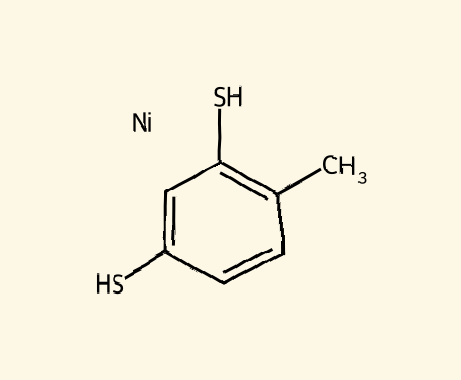 Cc1ccc(S)cc1S.[Ni]